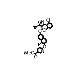 COC(=O)c1ccc(Oc2ccc3cc(OCc4c(-c5c(Cl)cccc5Cl)noc4C4CC4)ccc3c2F)nc1